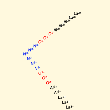 [Al+3].[Al+3].[Al+3].[Al+3].[Al+3].[La+3].[La+3].[La+3].[La+3].[La+3].[N-3].[N-3].[N-3].[N-3].[N-3].[N-3].[O-2].[O-2].[O-2].[O-2].[O-2].[O-2]